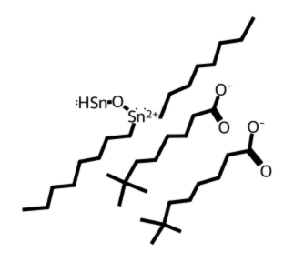 CC(C)(C)CCCCCC(=O)[O-].CC(C)(C)CCCCCC(=O)[O-].CCCCCCC[CH2][Sn+2]([CH2]CCCCCCC)[O][SnH]